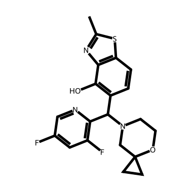 Cc1nc2c(O)c(C(c3ncc(F)cc3F)N3CCOC4(CC4)C3)ccc2s1